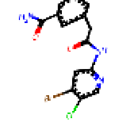 NC(=O)c1cccc(CC(=O)Nc2cc(Br)c(Cl)cn2)c1